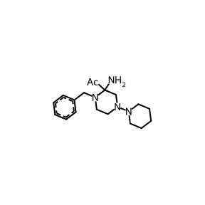 CC(=O)C1(N)CN(N2CCCCC2)CCN1Cc1ccccc1